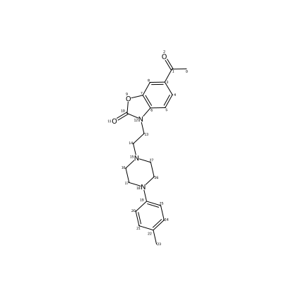 CC(=O)c1ccc2c(c1)oc(=O)n2CCN1CCN(c2ccc(C)cc2)CC1